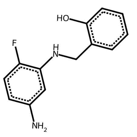 Nc1ccc(F)c(NCc2ccccc2O)c1